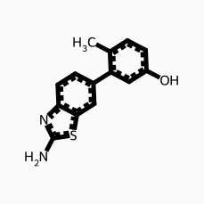 Cc1ccc(O)cc1-c1ccc2nc(N)sc2c1